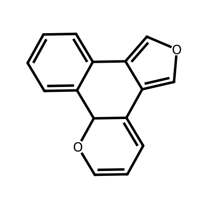 C1=COC2C(=C1)c1cocc1-c1ccccc12